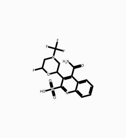 NC(=O)c1c(C2CN(C(F)(F)F)CC(F)O2)c(S(=O)(=O)O)nc2ccccc12